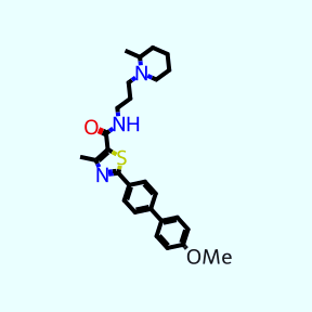 COc1ccc(-c2ccc(-c3nc(C)c(C(=O)NCCCN4CCCCC4C)s3)cc2)cc1